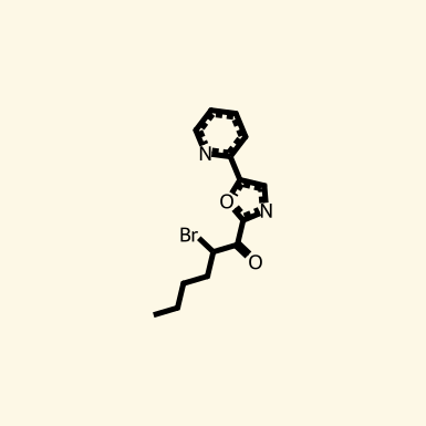 CCCCC(Br)C(=O)c1ncc(-c2ccccn2)o1